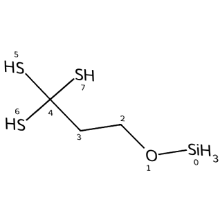 [SiH3]OCCC(S)(S)S